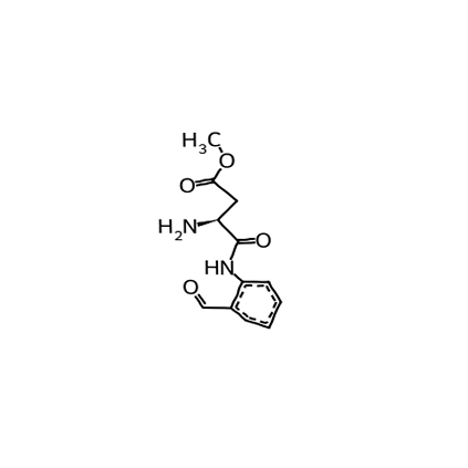 COC(=O)C[C@H](N)C(=O)Nc1ccccc1C=O